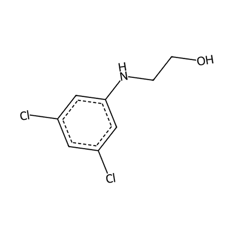 OCCNc1cc(Cl)cc(Cl)c1